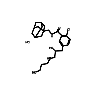 Cl.O=C(NCC12CC3CC(CC(C3)C1)C2)c1cc(C[C@@H](O)CNCCCO)ccc1Cl